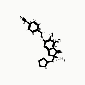 CC1(CC2CCCC2)Cc2cc(OCc3ccc(C#N)cc3)c(Cl)c(Cl)c2C1=O